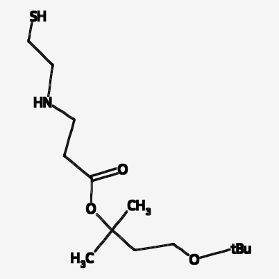 CC(C)(C)OCCC(C)(C)OC(=O)CCNCCS